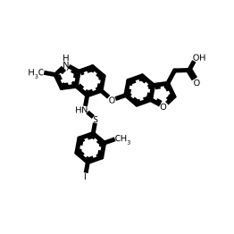 Cc1cc2c(NSc3ccc(I)cc3C)c(Oc3ccc4c(CC(=O)O)coc4c3)ccc2[nH]1